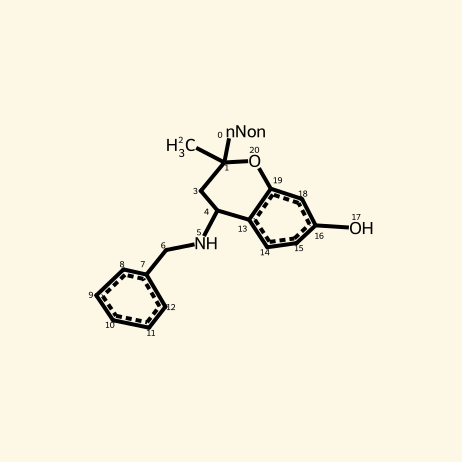 CCCCCCCCCC1(C)CC(NCc2ccccc2)c2ccc(O)cc2O1